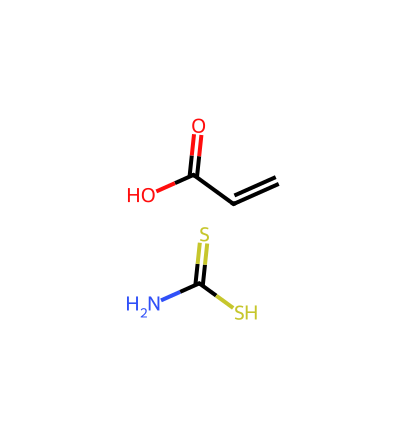 C=CC(=O)O.NC(=S)S